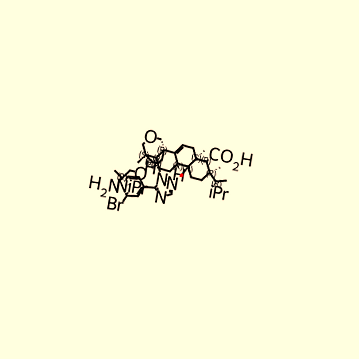 CC(C)[C@@H](C)[C@@]1(C)CC[C@]2(C)[C@H]3CC[C@@H]4[C@@]5(COC[C@@]4(C)[C@@H](OC[C@](C)(N)C(C)C)[C@H](n4ncnc4-c4ccnc(Br)c4)C5)C3=CC[C@@]2(C)[C@@H]1C(=O)O